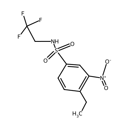 CCc1ccc(S(=O)(=O)NCC(F)(F)F)cc1[N+](=O)[O-]